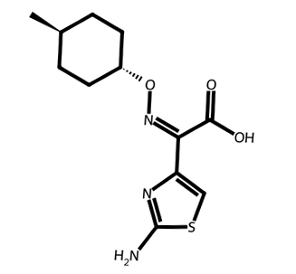 C[C@H]1CC[C@H](ON=C(C(=O)O)c2csc(N)n2)CC1